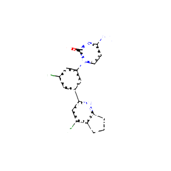 Nc1ccn(-c2cc(F)cc(-c3cc(Cl)c4c(n3)CCC4)c2)c(=O)n1